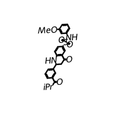 COc1cccc(NS(=O)(=O)c2ccc3c(c2)C(=O)CC(c2cccc(C(=O)C(C)C)c2)N3)c1